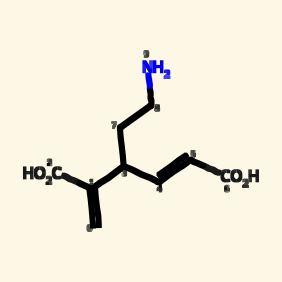 C=C(C(=O)O)C(C=CC(=O)O)CCN